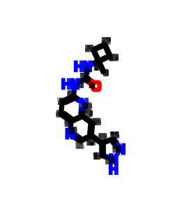 CC1(NC(=O)Nc2ccc3ncc(-c4cn[nH]c4)cc3n2)CCC1